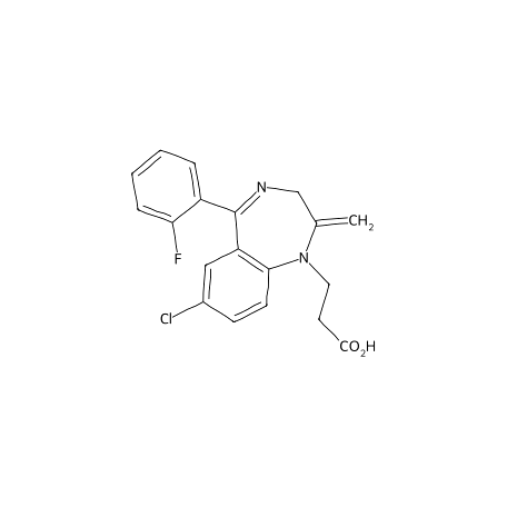 C=C1CN=C(c2ccccc2F)c2cc(Cl)ccc2N1CCC(=O)O